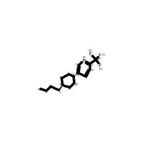 CCCC[C@H]1CC[C@H](c2ccc(C(F)(F)F)nc2)CC1